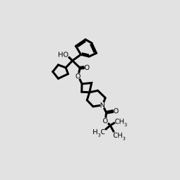 CC(C)(C)OC(=O)N1CCC2(CC1)CC(OC(=O)C(O)(c1ccccc1)C1CCCC1)C2